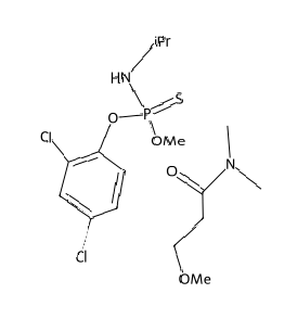 COCCC(=O)N(C)C.COP(=S)(NC(C)C)Oc1ccc(Cl)cc1Cl